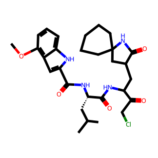 COc1cccc2[nH]c(C(=O)N[C@@H](CC(C)C)C(=O)NC(CC3CC4(CCCCC4)NC3=O)C(=O)CCl)cc12